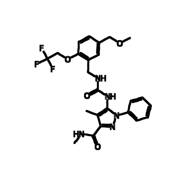 CNC(=O)c1nn(-c2ccccc2)c(NC(=O)NCc2cc(COC)ccc2OCC(F)(F)F)c1C